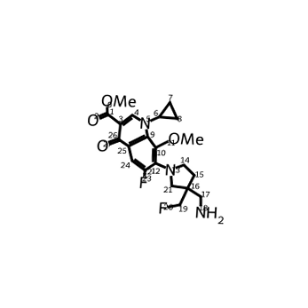 COC(=O)c1cn(C2CC2)c2c(OC)c(N3CCC(CN)(CF)C3)c(F)cc2c1=O